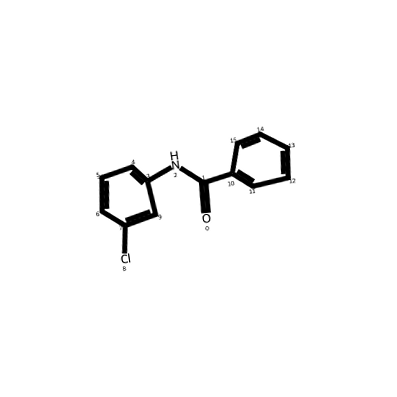 O=C(Nc1c[c]cc(Cl)c1)c1ccccc1